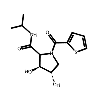 CC(C)NC(=O)C1[C@H](O)[C@@H](O)CN1C(=O)c1cccs1